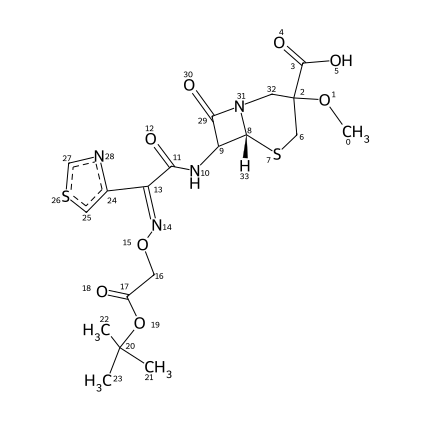 COC1(C(=O)O)CS[C@@H]2C(NC(=O)C(=NOCC(=O)OC(C)(C)C)c3cscn3)C(=O)N2C1